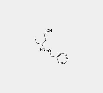 CCC(CCO)NOCc1ccccc1